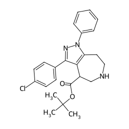 CC(C)(C)OC(=O)C1CNCCc2c1c(-c1ccc(Cl)cc1)nn2-c1ccccc1